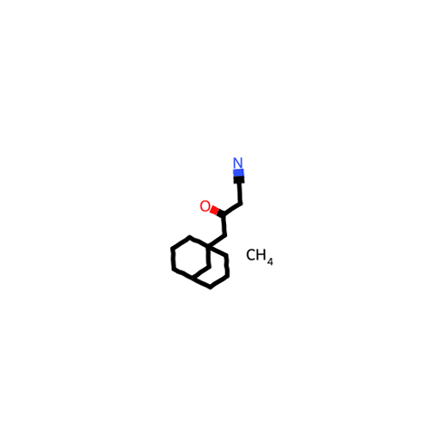 C.N#CCC(=O)CC12CCCC(CCC1)C2